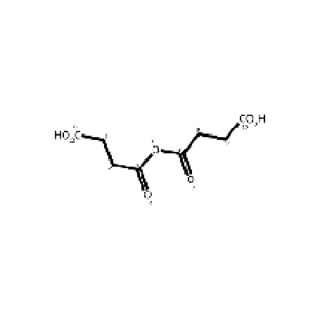 O=C(O)CCC(=O)OC(=O)CCC(=O)O